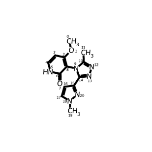 COc1cc[nH]c(=O)c1-n1c(C)nnc1-c1ccn(C)n1